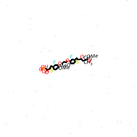 COC(=O)C(C)(C)CC(=O)c1cc2c(F)c(OCCCOc3c(OC)cc4sc(C(=O)CP(=O)(O)O)cc4c3F)c(OC)cc2s1